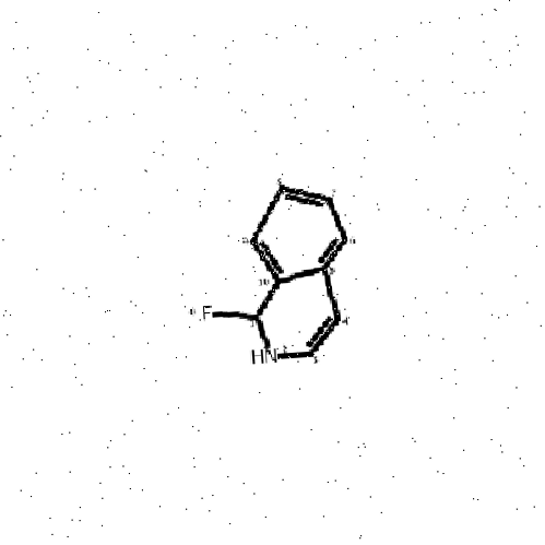 FC1NC=Cc2ccccc21